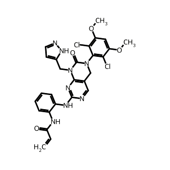 C=CC(=O)Nc1ccccc1Nc1ncc2c(n1)N(Cc1ccn[nH]1)C(=O)N(c1c(Cl)c(OC)cc(OC)c1Cl)C2